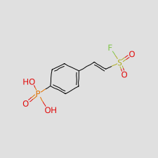 O=P(O)(O)c1ccc(/C=C/S(=O)(=O)F)cc1